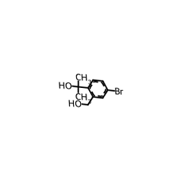 CC(C)(O)c1ccc(Br)cc1CO